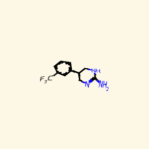 NC1=NCC(c2cccc(C(F)(F)F)c2)CN1